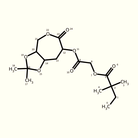 CCC(C)(C)C(=O)OCC(=O)OC1CC2OC(C)(C)OC2COC1=O